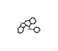 c1ccc(Nc2c3ccccc3cc3sc4ccccc4c23)cc1